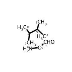 CC(C)C(C)C.NOC=O